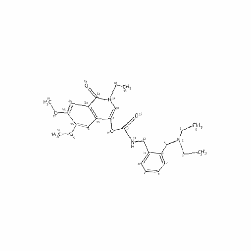 CCN(CC)Cc1ccccc1CNC(=O)Oc1cn(CC)c(=O)c2cc(OC)c(OC)cc12